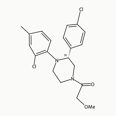 COCC(=O)N1CCN(c2ccc(C)cc2Cl)[C@H](c2ccc(Cl)cc2)C1